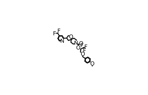 COc1ccc(COCC(OC(=O)N2CCC3(CC2)CC(c2cc(C(F)F)ccn2)CO3)C(F)(F)F)cc1